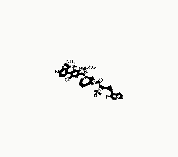 COc1nc(N2CCCCC3(CN(C(=O)[C@H]4[C@H](C5CC5C5C6CCCN6C[C@@H]5F)N4P(C)(C)=O)C3)C2)c2cc(Cl)c(-c3ccc(F)c4sc(N)c(C#N)c34)c(F)c2n1